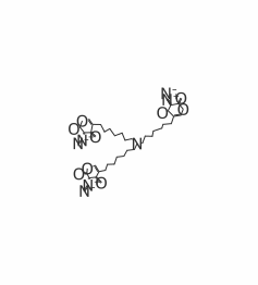 [N-]=[N+]=C1C(=O)OC=C(CCCCCCCN(CCCCCCCC2=COC(=O)C(=[N+]=[N-])C2=O)CCCCCCCC2=COC(=O)C(=[N+]=[N-])C2=O)C1=O